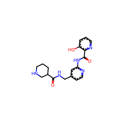 O=C(Nc1cc(CNC(=O)C2CCCNC2)ccn1)c1ncccc1O